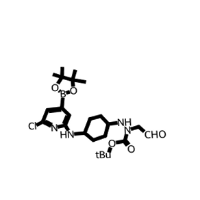 CC(C)(C)OC(=O)N(CC=O)NC1CCC(Nc2cc(B3OC(C)(C)C(C)(C)O3)cc(Cl)n2)CC1